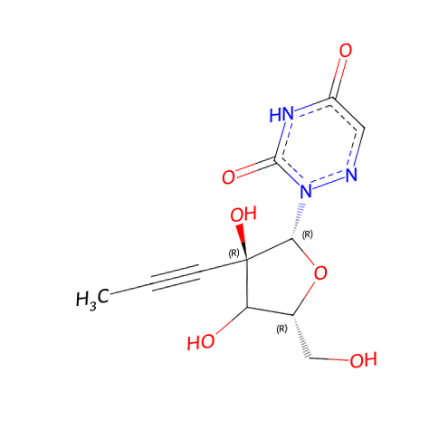 CC#C[C@@]1(O)C(O)[C@@H](CO)O[C@H]1n1ncc(=O)[nH]c1=O